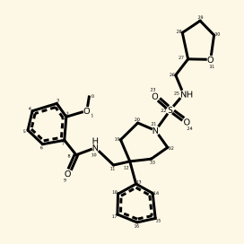 COc1ccccc1C(=O)NCC1(c2ccccc2)CCN(S(=O)(=O)NCC2CCCO2)CC1